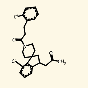 CC(=O)CC1CC2(CCN(C(=O)CCc3ccccc3Cl)CC2)c2c(Cl)cccc21